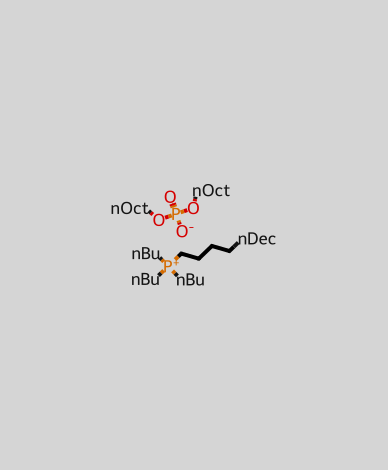 CCCCCCCCCCCCCC[P+](CCCC)(CCCC)CCCC.CCCCCCCCOP(=O)([O-])OCCCCCCCC